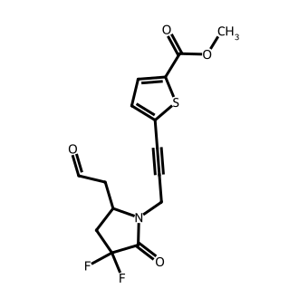 COC(=O)c1ccc(C#CCN2C(=O)C(F)(F)CC2CC=O)s1